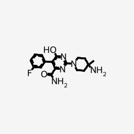 CC1(N)CCN(c2nc(O)c(-c3cccc(F)c3)c(C(N)=O)n2)CC1